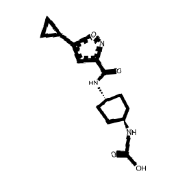 O=C(O)N[C@H]1CC[C@H](NC(=O)c2cc(C3CC3)on2)CC1